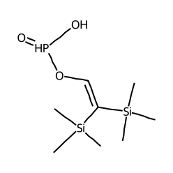 C[Si](C)(C)C(=CO[PH](=O)O)[Si](C)(C)C